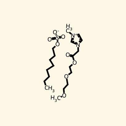 CCCCCCCCOS(=O)(=O)[O-].COCCOCCOC(=O)Cn1cc[n+](C)c1